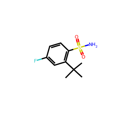 CC(C)(C)c1cc(F)ccc1S(N)(=O)=O